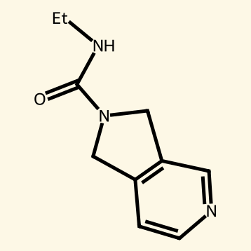 CCNC(=O)N1Cc2ccncc2C1